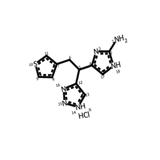 Cl.Nc1nc(C(Cc2ccsc2)c2c[nH]nn2)c[nH]1